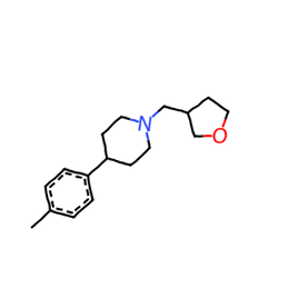 Cc1ccc(C2CCN(CC3CCOC3)CC2)cc1